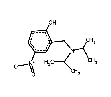 CC(C)N(Cc1cc([N+](=O)[O-])ccc1O)C(C)C